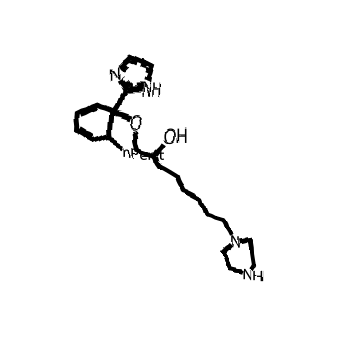 CCCCCC1C=CC=CC1(OCC(O)CCCCCCN1CCNCC1)c1ncc[nH]1